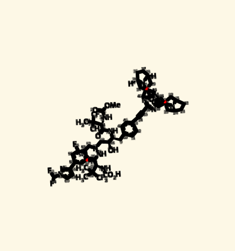 COC(=O)N[C@H](C(=O)N[C@@H](Cc1ccc(C#Cc2nc(N3CC4CCC(C3)N4C3COC3)nc(N3C[C@H]4CC[C@@H](C3)N4C3COC3)n2)cc1)[C@@H](O)CN(Cc1c(F)cc(-c2ccn(C(F)F)n2)cc1F)NC(=O)[C@@H](NC(=O)O)C(C)(C)C(F)(F)F)C(C)(C)C(F)(F)F